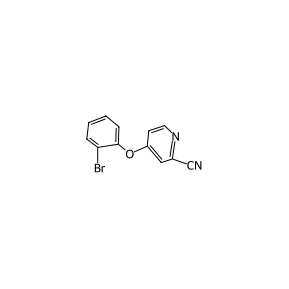 N#Cc1cc(Oc2ccccc2Br)ccn1